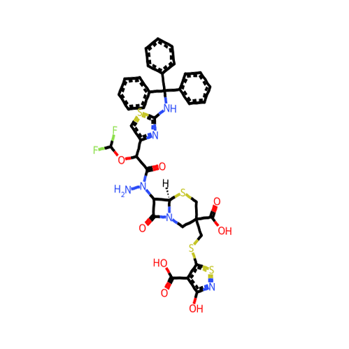 NN(C(=O)C(OC(F)F)c1csc(NC(c2ccccc2)(c2ccccc2)c2ccccc2)n1)C1C(=O)N2CC(CSc3snc(O)c3C(=O)O)(C(=O)O)CS[C@H]12